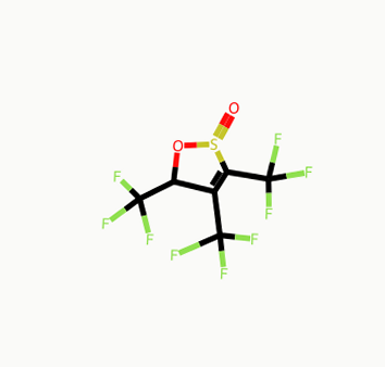 O=S1OC(C(F)(F)F)C(C(F)(F)F)=C1C(F)(F)F